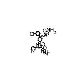 CC(C)(CCC1(c2cccc(Cl)c2)CCC(n2nc(-c3cccnc3)cc(C(=O)N=[N+]=[N-])c2=O)CC1)OC(N)=O